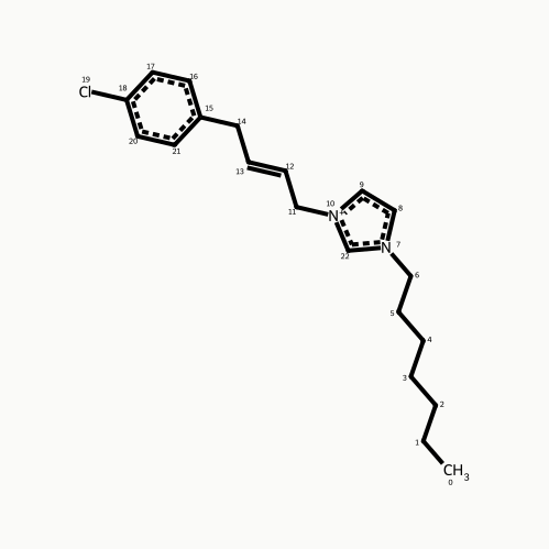 CCCCCCCn1cc[n+](C/C=C/Cc2ccc(Cl)cc2)c1